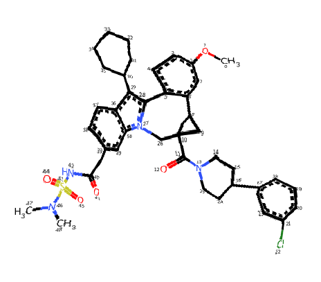 COc1ccc2c(c1)C1CC1(C(=O)N1CCC(c3cccc(Cl)c3)CC1)Cn1c-2c(C2CCCCC2)c2ccc(C(=O)NS(=O)(=O)N(C)C)cc21